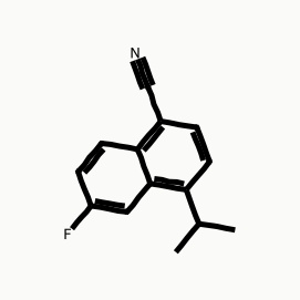 CC(C)c1ccc(C#N)c2ccc(F)cc12